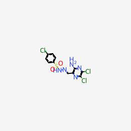 Nc1nc(Cl)c(Cl)nc1C=NNS(=O)(=O)c1ccc(Cl)cc1